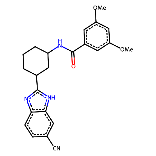 COc1cc(OC)cc(C(=O)NC2CCCC(c3nc4ccc(C#N)cc4[nH]3)C2)c1